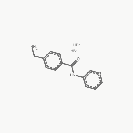 Br.Br.NCc1ccc(C(=O)Nc2cccnc2)cc1